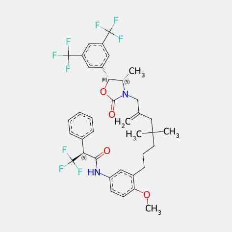 C=C(CN1C(=O)O[C@H](c2cc(C(F)(F)F)cc(C(F)(F)F)c2)[C@@H]1C)CC(C)(C)CCCc1cc(NC(=O)[C@H](c2ccccc2)C(F)(F)F)ccc1OC